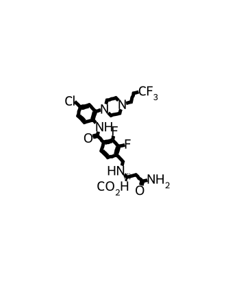 NC(=O)C[C@H](NCc1ccc(C(=O)Nc2ccc(Cl)cc2N2CCN(CCC(F)(F)F)CC2)c(F)c1F)C(=O)O